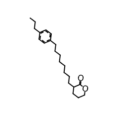 CCCc1ccc(CCCCCCCCC2CCCOC2=O)cc1